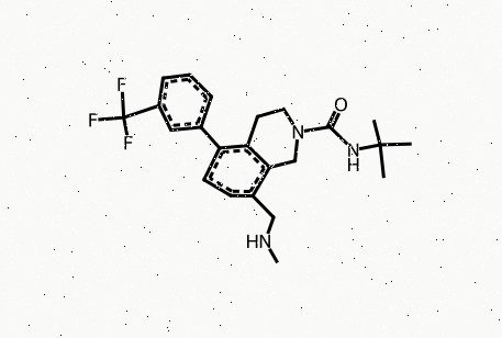 CNCc1ccc(-c2cccc(C(F)(F)F)c2)c2c1CN(C(=O)NC(C)(C)C)CC2